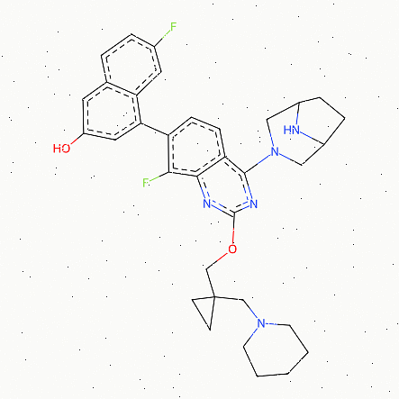 Oc1cc(-c2ccc3c(N4CC5CCC(C4)N5)nc(OCC4(CN5CCCCC5)CC4)nc3c2F)c2cc(F)ccc2c1